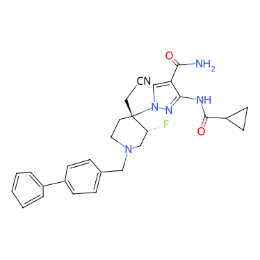 N#CC[C@]1(n2cc(C(N)=O)c(NC(=O)C3CC3)n2)CCN(Cc2ccc(-c3ccccc3)cc2)C[C@H]1F